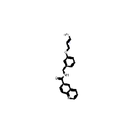 CCC/C=C/COc1cccc(CNC(=O)c2ccc3ncccc3c2)c1